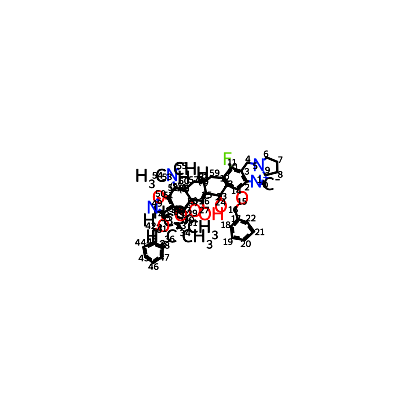 [C-]#[N+]c1c(CN2CCCC2)c(F)c2c(c1OCc1ccccc1)C(=O)C1=C(O)[C@]3(O[Si](C)(C)C(C)(C)C)C(=O)c4c(OCc5ccccc5)noc4[C@@H](N(C)C)[C@@H]3C[C@@H]1C2